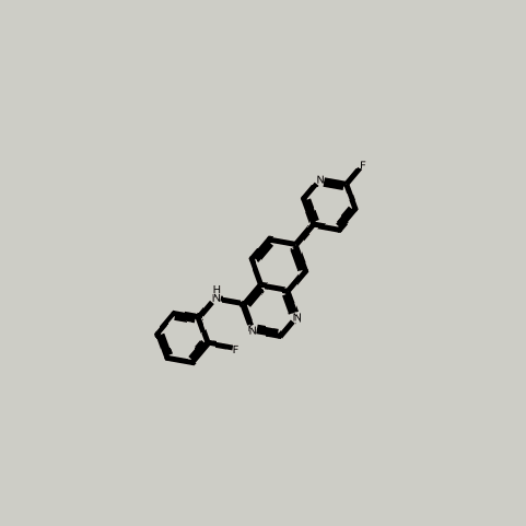 Fc1ccc(-c2ccc3c(Nc4ccccc4F)ncnc3c2)cn1